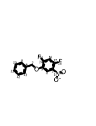 O=[N+]([O-])c1cc(OCc2ccccc2)c(F)cc1F